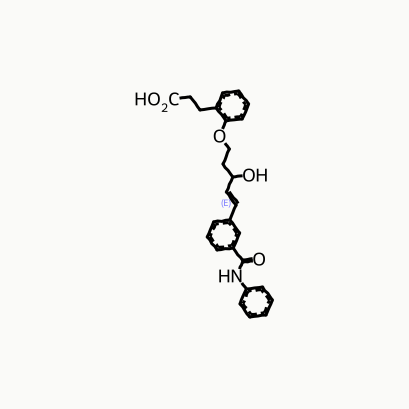 O=C(O)CCc1ccccc1OCCC(O)/C=C/c1cccc(C(=O)Nc2ccccc2)c1